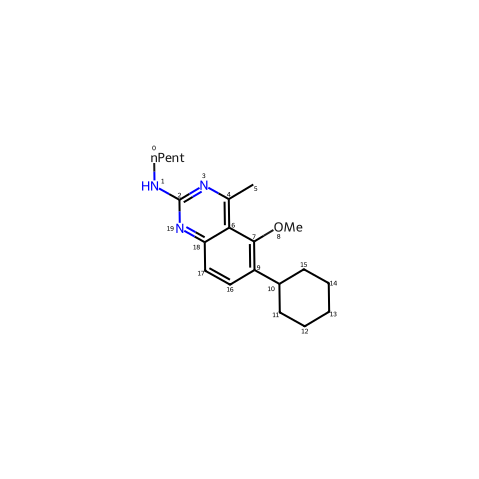 CCCCCNc1nc(C)c2c(OC)c(C3CCCCC3)ccc2n1